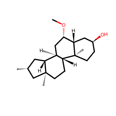 CO[C@H]1C[C@@H]2[C@H]3C[C@@H](C)C[C@]3(C)CC[C@H]2[C@]2(C)CC[C@H](O)C[C@@H]12